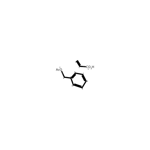 C=CC(=O)O.CC(=O)OCc1ccccc1